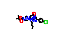 CCCCCn1c(N2CCN(C(=O)OC(C)(C)C)CC2)cc(=O)n2cc(-c3ccc(Cl)cc3)nc12